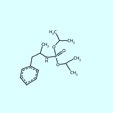 CC(Cc1ccccc1)NP(=O)(OC(C)C)OC(C)C